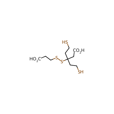 O=C(O)CCSSC(CCS)(CCS)CC(=O)O